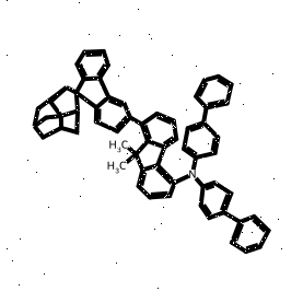 CC1(C)c2cccc(N(c3ccc(-c4ccccc4)cc3)c3ccc(-c4ccccc4)cc3)c2-c2cccc(-c3ccc4c(c3)-c3ccccc3C43C4CC5CC6CC3C6(C5)C4)c21